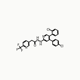 O=C(Cc1ccc(C(F)(F)F)nc1)NNc1cc(-c2ccc(Cl)cc2)c(-c2ccccc2Cl)cn1